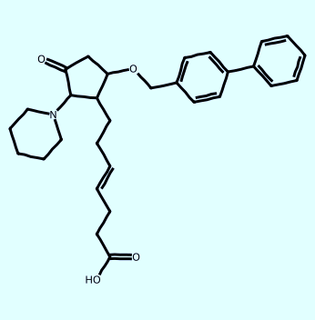 O=C(O)CCC=CCCC1C(OCc2ccc(-c3ccccc3)cc2)CC(=O)C1N1CCCCC1